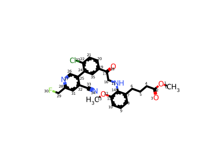 COC(=O)CCCc1cccc(OC)c1NCC(=O)c1ccc(Cl)c(-c2cnc(CF)cc2C#N)c1